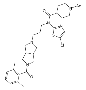 CC(=O)N1CCC(C(=O)N(CCCN2CC3CN(C(=O)c4c(C)cccc4C)CC3C2)c2ncc(Cl)s2)CC1